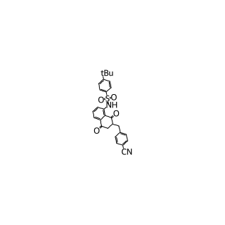 CC(C)(C)c1ccc(S(=O)(=O)Nc2cccc3c2C(=O)C(Cc2ccc(C#N)cc2)CC3=O)cc1